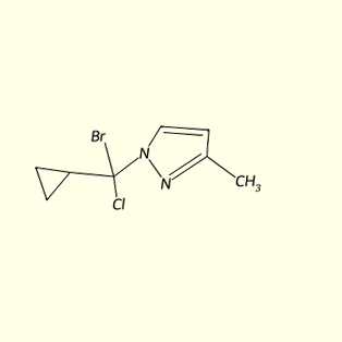 Cc1ccn(C(Cl)(Br)C2CC2)n1